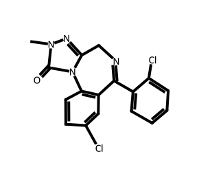 Cn1nc2n(c1=O)-c1ccc(Cl)cc1C(c1ccccc1Cl)=NC2